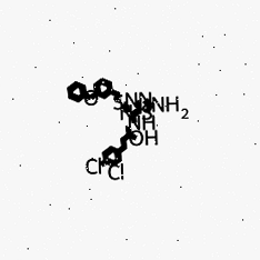 Nc1nc2nc(SCc3cccc(Oc4ccccc4)c3)nc(NCC(O)CCc3ccc(Cl)c(Cl)c3)c2s1